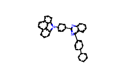 c1ccc(-c2ccc(-c3nc(-c4ccc(-n5c6cccc7ccc8cccc5c8c76)cc4)nc4ccccc34)cc2)cc1